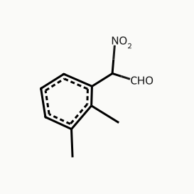 Cc1cccc(C(C=O)[N+](=O)[O-])c1C